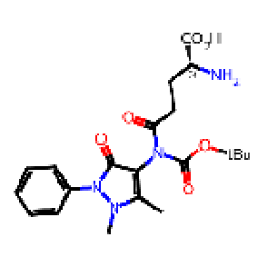 Cc1c(N(C(=O)CC[C@H](N)C(=O)O)C(=O)OC(C)(C)C)c(=O)n(-c2ccccc2)n1C